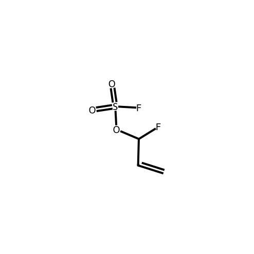 C=CC(F)OS(=O)(=O)F